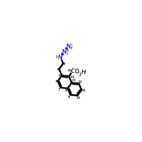 [N-]=[N+]=NCCc1ccc2ccccc2c1C(=O)O